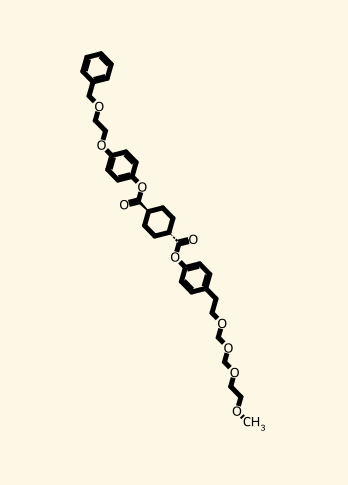 COCCOCOCOCCc1ccc(OC(=O)[C@H]2CC[C@H](C(=O)Oc3ccc(OCCOCc4ccccc4)cc3)CC2)cc1